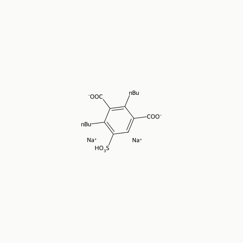 CCCCc1c(C(=O)[O-])cc(S(=O)(=O)O)c(CCCC)c1C(=O)[O-].[Na+].[Na+]